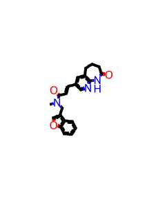 CN(Cc1coc2ccccc12)C(=O)/C=C/c1cnc2c(c1)CCCC(=O)N2